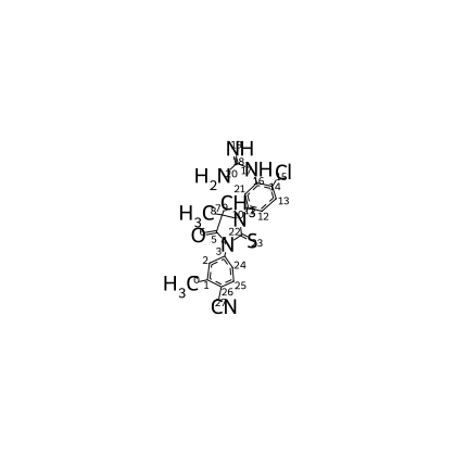 Cc1cc(N2C(=O)C(C)(C)N(c3ccc(Cl)c(NC(=N)N)c3)C2=S)ccc1C#N